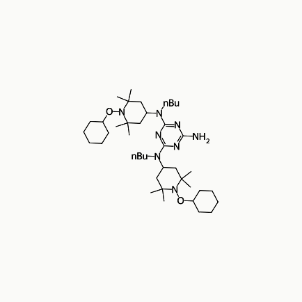 CCCCN(c1nc(N)nc(N(CCCC)C2CC(C)(C)N(OC3CCCCC3)C(C)(C)C2)n1)C1CC(C)(C)N(OC2CCCCC2)C(C)(C)C1